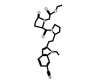 CCOC(=O)CN1C(=O)CCC1C(=O)N1CCCC1CCc1cc2ccc(C#N)cc2n1CC